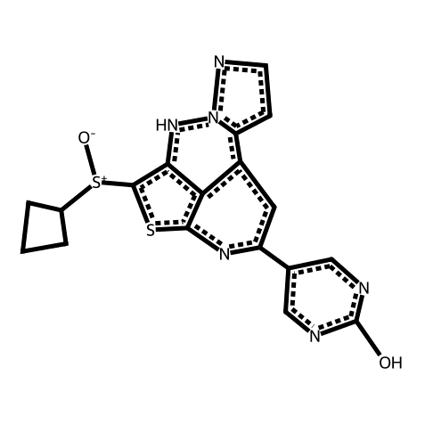 [O-][S+](c1sc2nc(-c3cnc(O)nc3)cc3c2c1[nH]n1nccc31)C1CCC1